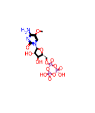 COc1cn([C@@H]2O[C@H](COP3(=O)OP(=O)(O)OP(=O)(O)O3)C(O)[C@@H]2O)c(=O)nc1N